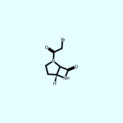 O=C1N[C@@H]2CCN(C(=O)CBr)C12